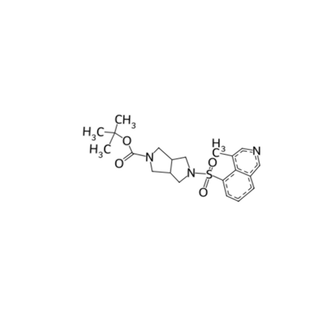 Cc1cncc2cccc(S(=O)(=O)N3CC4CN(C(=O)OC(C)(C)C)CC4C3)c12